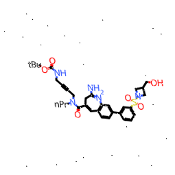 CCCN(CC#CCNC(=O)OC(C)(C)C)C(=O)C1=Cc2ccc(-c3cccc(S(=O)(=O)N4CC(CO)C4)c3)cc2N=C(N)C1